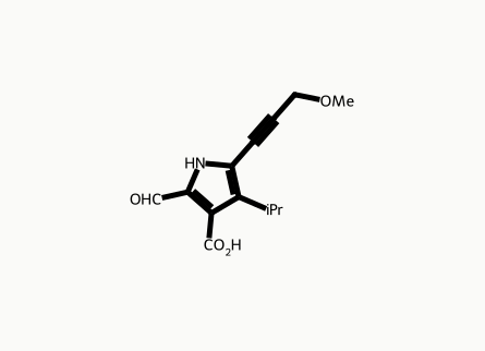 COCC#Cc1[nH]c(C=O)c(C(=O)O)c1C(C)C